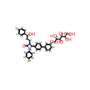 O=C1C(CC[C@H](O)c2ccc(F)cc2)C(c2ccc(-c3cccc(OC[C@@H](O)[C@@H](O)[C@H](O)[C@@H](O)CO)c3)cc2)N1c1ccc(F)cc1